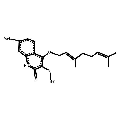 CNc1ccc2c(OC/C=C(\C)CCC=C(C)C)c(OC(C)C)c(=O)[nH]c2c1